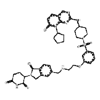 O=C1CCC(N2Cc3cc(CNCCOc4cccc(S(=O)(=O)N5CCC(Nc6ncc7ccc(=O)n(C8CCCC8)c7n6)CC5)c4)ccc3C2=O)C(=O)N1